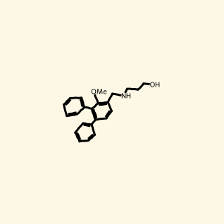 COc1c(CNCCCO)ccc(-c2ccccc2)c1-c1ccccc1